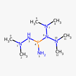 CN(C)NP(N)N(N(C)C)N(C)C